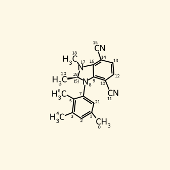 Cc1cc(C)c(C)c(N2c3c(C#N)ccc(C#N)c3N(C)[C@@H]2C)c1